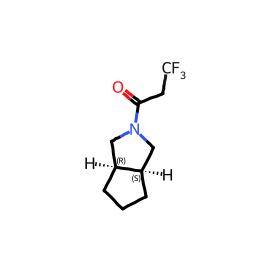 O=C(CC(F)(F)F)N1C[C@H]2CCC[C@H]2C1